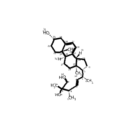 C[C@H](C=C[C@H](C)C(C)(O)CO)[C@H]1CC[C@H]2C3=CC=C4C[C@@H](O)CC[C@@]4(C)[C@@H]3CC[C@]12C